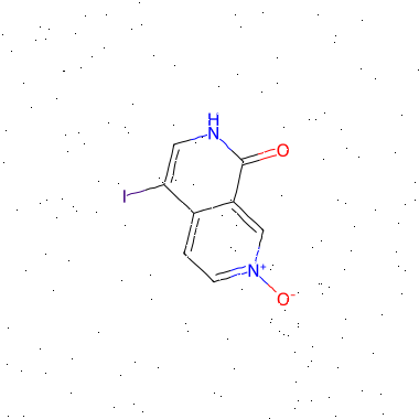 O=c1[nH]cc(I)c2cc[n+]([O-])cc12